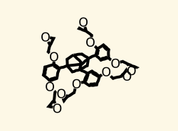 c1cc(OCC2CO2)c(C23CC4CC(c5cc(OCC6CO6)ccc5OCC5CO5)(C2)CC(c2cc(OCC5CO5)ccc2OCC2CO2)(C4)C3)cc1OCC1CO1